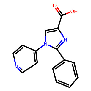 O=C(O)c1cn(-c2ccncc2)c(-c2ccccc2)n1